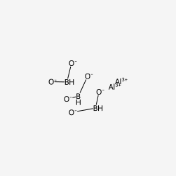 [Al+3].[Al+3].[O-]B[O-].[O-]B[O-].[O-]B[O-]